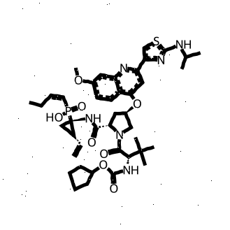 C=C[C@@H]1C[C@]1(NC(=O)[C@@H]1C[C@@H](Oc2cc(-c3csc(NC(C)C)n3)nc3cc(OC)ccc23)CN1C(=O)[C@@H](NC(=O)OC1CCCC1)C(C)(C)C)P(=O)(O)/C=C\CC